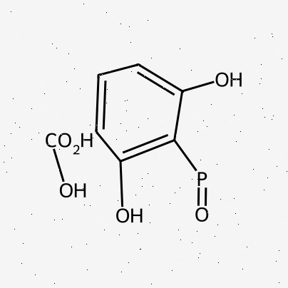 O=C(O)O.O=Pc1c(O)cccc1O